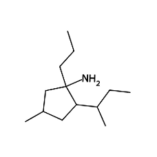 CCCC1(N)CC(C)CC1C(C)CC